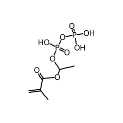 C=C(C)C(=O)OC(C)OP(=O)(O)OP(=O)(O)O